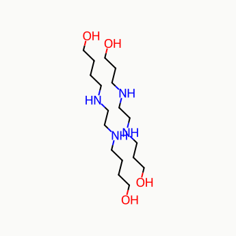 OCCCCNCCNCCCCO.OCCCNCCNCCCO